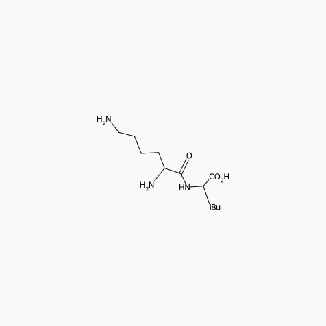 CCC(C)C(NC(=O)C(N)CCCCN)C(=O)O